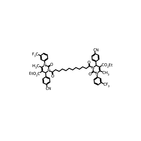 CCOC(=O)C1=C(C)N(c2cccc(C(F)(F)F)c2)C(=O)N(C(=O)CCCCCCCCCCC(=O)N2C(=O)N(c3cccc(C(F)(F)F)c3)C(C)=C(C(=O)OCC)C2c2ccc(C#N)cc2)C1c1ccc(C#N)cc1